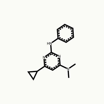 CN(C)c1cc(C2CC2)nc(Nc2ccccc2)n1